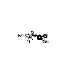 CCCCN1c2ccc(/C=C/C(=O)N(CC(=O)O)C(=S)S)cc2C2CCCC21